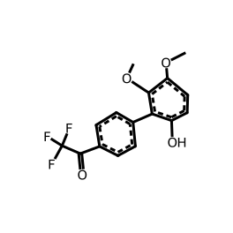 COc1ccc(O)c(-c2ccc(C(=O)C(F)(F)F)cc2)c1OC